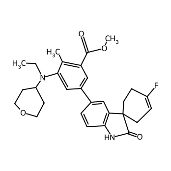 CCN(c1cc(-c2ccc3c(c2)C2(CC=C(F)CC2)C(=O)N3)cc(C(=O)OC)c1C)C1CCOCC1